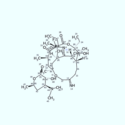 CCC(=O)/N=C1\[C@H](C)C[C@@]2(C)OCC(=N)CC[C@H]([C@H]1C)[C@](C)(O)[C@@H](CC)OC(=O)[C@@](C)(F)C(=O)[C@H](C)[C@H]2O[C@@H]1O[C@H](C)C[C@H](N(C)C)[C@H]1O